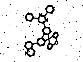 c1ccc(-c2cc(-c3ccc4c(c3)-c3cc(-c5cccc6ncccc56)ccc3C43c4ccccc4Oc4ccccc43)nc(-c3ccccc3)n2)cc1